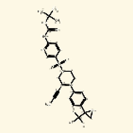 CC#C[C@H]1CN(S(=O)(=O)c2ccc(NC(=O)OC(C)(C)C)nc2)CCN1c1ccc(C2(C(F)(F)F)CO2)cc1